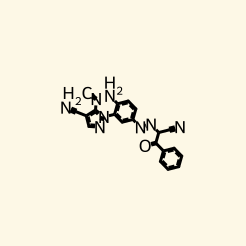 C=Nc1c(C#N)cnn1-c1cc(/N=N/C(C#N)C(=O)c2ccccc2)ccc1N